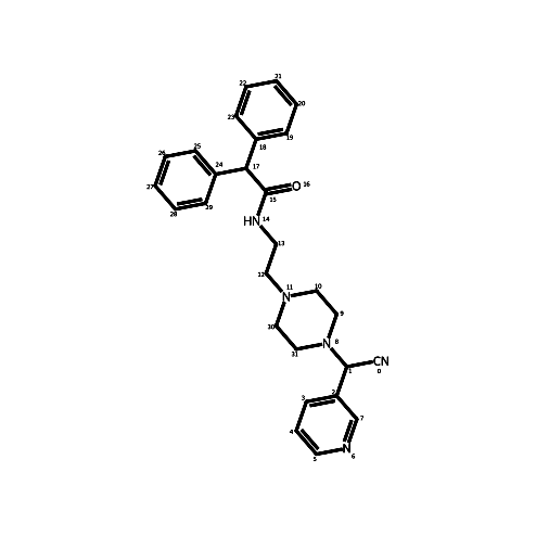 N#CC(c1cccnc1)N1CCN(CCNC(=O)C(c2ccccc2)c2ccccc2)CC1